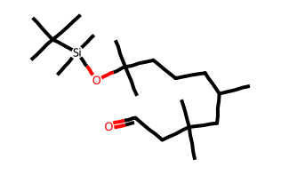 CC(CCCC(C)(C)O[Si](C)(C)C(C)(C)C)CC(C)(C)CC=O